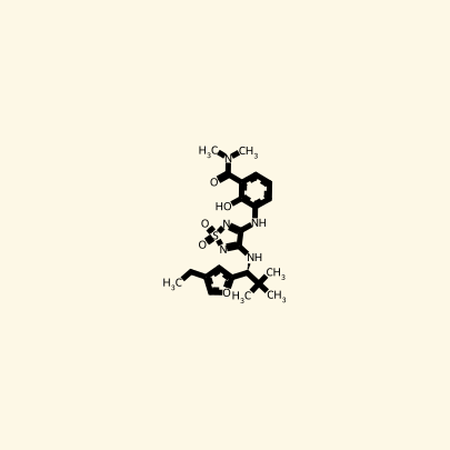 CCc1coc([C@H](NC2=NS(=O)(=O)N=C2Nc2cccc(C(=O)N(C)C)c2O)C(C)(C)C)c1